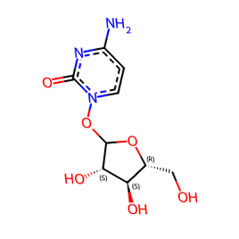 Nc1ccn(OC2O[C@H](CO)[C@@H](O)[C@@H]2O)c(=O)n1